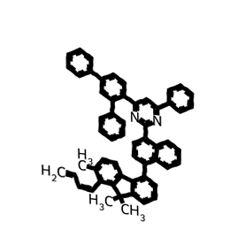 C=C/C=C\c1c(C)ccc2c1C(C)(C)c1cccc(-c3ccc(-c4nc(-c5ccccc5)cc(-c5ccc(-c6ccccc6)cc5-c5ccccc5)n4)c4ccccc34)c1-2